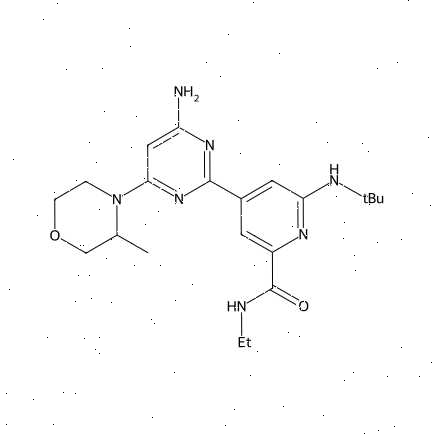 CCNC(=O)c1cc(-c2nc(N)cc(N3CCOCC3C)n2)cc(NC(C)(C)C)n1